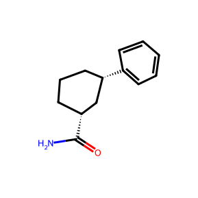 NC(=O)[C@@H]1CCC[C@H](c2ccccc2)C1